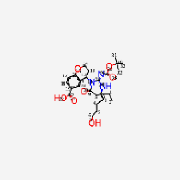 CCC1(CCCCO)CC(=O)N(C2CCOc3ccc(C(=O)O)cc32)/C(=N/C(=O)OC(C)(C)C)N1